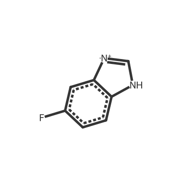 Fc1ccc2c(c1)[N+]=CN2